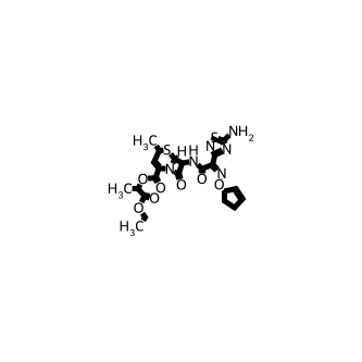 CCOC(=O)C(C)OC(=O)C1=CC(C)S[C@@H]2C(NC(=O)/C(=N\OC3C=CCC3)c3nsc(N)n3)C(=O)N12